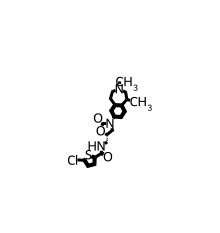 CC1CN(C)CCc2cc(N3C[C@H](CNC(=O)c4ccc(Cl)s4)OC3=O)ccc21